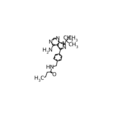 CCCC(=O)NCc1ccc(-c2nn(C(C)(C)C)c3ncnc(N)c23)cc1